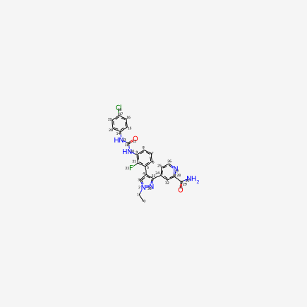 CCn1cc(-c2cccc(NC(=O)Nc3ccc(Cl)cc3)c2F)c(-c2ccnc(C(N)=O)c2)n1